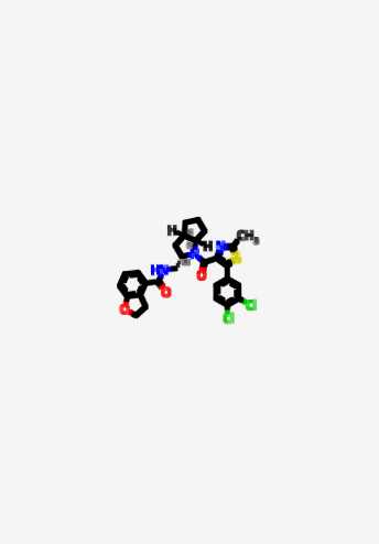 Cc1nc(C(=O)N2[C@H](CNC(=O)c3cccc4c3CCO4)C[C@@H]3CCC[C@@H]32)c(-c2ccc(Cl)c(Cl)c2)s1